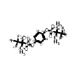 CC(C)(C(F)(F)F)S(=O)(=O)Oc1ccc(OS(=O)(=O)C(C)(C)C(F)(F)F)cc1